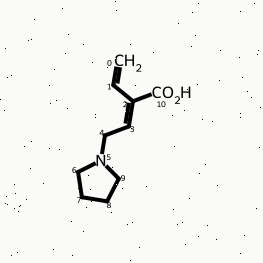 C=CC(=CCN1CCCC1)C(=O)O